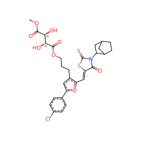 COC(=O)[C@@H](O)[C@H](O)C(=O)OCCCc1cc(-c2ccc(Cl)cc2)oc1/C=C1\SC(=S)N(C2CC3CCC2C3)C1=O